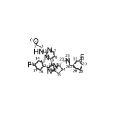 COCCNc1nccc(-c2c(-c3ccc(F)cc3)nc3n2[C@H](CN(C)Cc2cccc(F)c2)CC3)n1